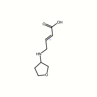 O=C(O)/C=C/CNC1CCOC1